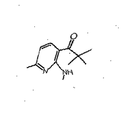 CNc1nc(C)ccc1C(=O)C(C)(C)C